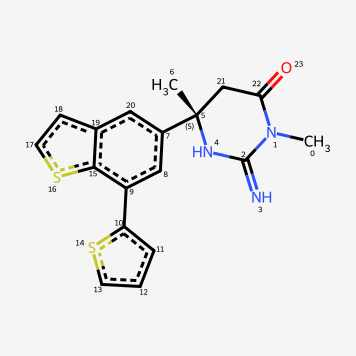 CN1C(=N)N[C@](C)(c2cc(-c3cccs3)c3sccc3c2)CC1=O